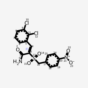 NC(=O)/C(=C\c1cccc(Cl)c1Cl)S(=O)(=O)Cc1ccc([N+](=O)[O-])cc1